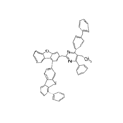 CCc1c(-c2ccccc2)nc(-c2cc(-c3ccc4c(c3)sc3c(-c5ccccc5)cccc34)c3c(c2)oc2ccccc23)nc1-c1ccc(-c2ccccc2)cc1